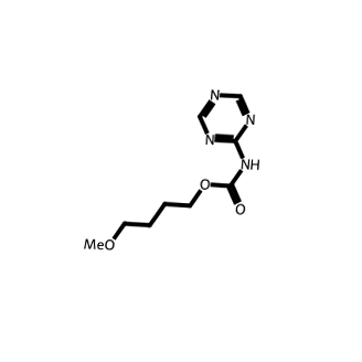 COCCCCOC(=O)Nc1ncncn1